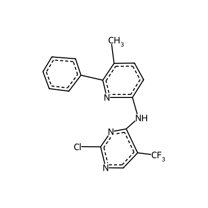 Cc1ccc(Nc2nc(Cl)ncc2C(F)(F)F)nc1-c1ccccc1